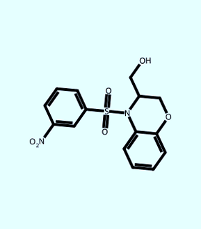 O=[N+]([O-])c1cccc(S(=O)(=O)N2c3ccccc3OCC2CO)c1